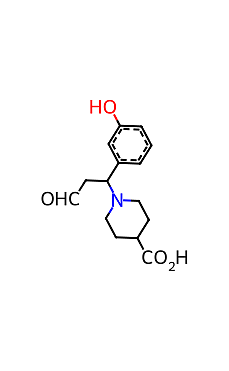 O=CCC(c1cccc(O)c1)N1CCC(C(=O)O)CC1